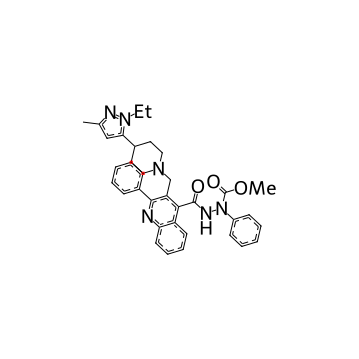 CCn1nc(C)cc1C1CCN(Cc2c(-c3ccccc3)nc3ccccc3c2C(=O)NN(C(=O)OC)c2ccccc2)CC1